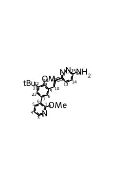 COc1ncccc1-c1cc(/C=C/c2ccc(N)nn2)c(OC)c(C(C)(C)C)c1